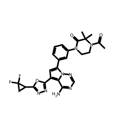 CC(=O)N1CCN(c2cccc(-c3cc(-c4nnc(C5CC5(F)F)o4)c4c(N)ncnn34)c2)C(=O)C1(C)C